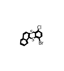 Clc1ccc(Br)c2c1Sc1ccc3ccccc3c1S2